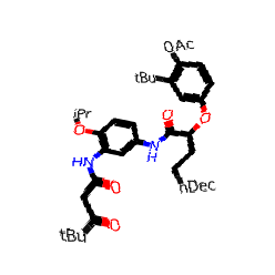 CCCCCCCCCCCCC(Oc1ccc(OC(C)=O)c(C(C)(C)C)c1)C(=O)Nc1ccc(OC(C)C)c(NC(=O)CC(=O)C(C)(C)C)c1